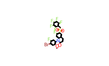 COc1cc(Br)c(F)cc1-n1c(=O)ccc2cc(S(=O)(=O)Cc3c(F)c(F)c(F)c(F)c3F)c(F)cc21